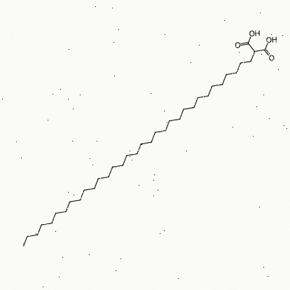 CCCCCCCCCCCCCCCCCCCCCCCCCCCCCCCCCC(C(=O)O)C(=O)O